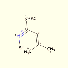 CC(=O)/N=C(\C=C(C)C)NC(C)=O